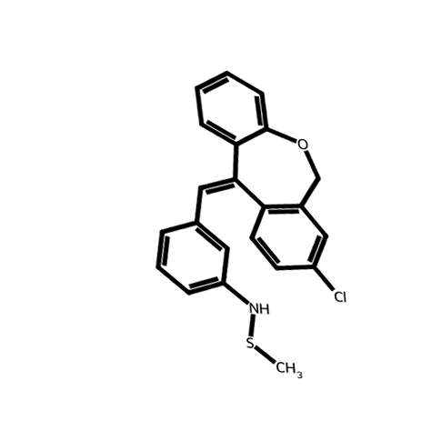 CSNc1cccc(/C=C2\c3ccc(Cl)cc3COc3ccccc32)c1